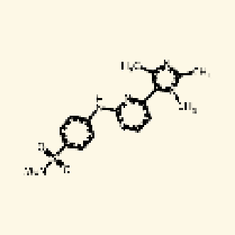 CNS(=O)(=O)c1ccc(Nc2nccc(-c3c(C)nc(C)n3C)n2)cc1